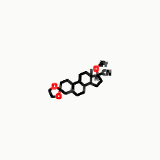 CC(C)O[C@]1(C#N)CCC2C3CCC4=C(CCC5(C4)OCCO5)C3=CCC21C